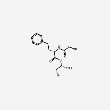 CC(C)C[C@H](OC(=O)[C@H](CCc1ccccc1)NC(=O)OC(C)(C)C)C(=O)O